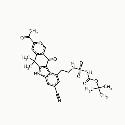 CC(C)(C)OC(=O)NS(=O)(=O)NCCc1cc(C#N)cc2[nH]c3c(c12)C(=O)c1ccc(C(N)=O)cc1C3(C)C